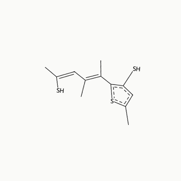 C/C(S)=C/C(C)=C(\C)c1sc(C)cc1S